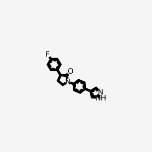 O=C1C(c2ccc(F)cc2)CCN1c1ccc(-c2cn[nH]c2)cc1